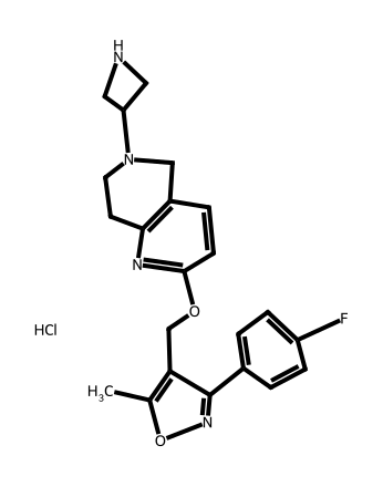 Cc1onc(-c2ccc(F)cc2)c1COc1ccc2c(n1)CCN(C1CNC1)C2.Cl